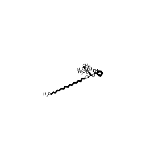 CCCCCCCCCCCCCCCCCCOC[C@H](CO[Si](C)(C)C(C)(C)C)OC(C)c1ccccc1